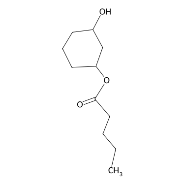 CCCCC(=O)OC1CCCC(O)C1